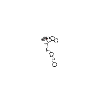 CN(CCN(C)C(=Cc1c(O)ccc2ccccc12)C(=O)NN)Cc1ccc(OCc2ccccc2)cc1